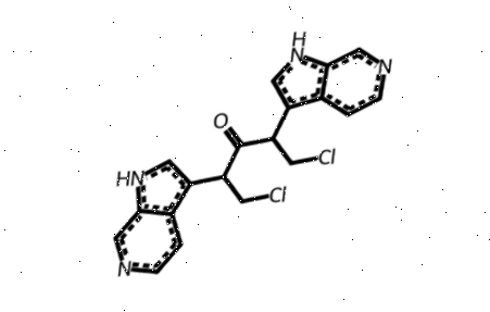 O=C(C(CCl)c1c[nH]c2cnccc12)C(CCl)c1c[nH]c2cnccc12